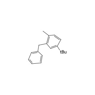 Cc1ccc(C(C)(C)C)cc1Cc1ccccc1